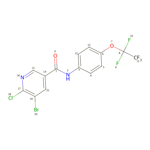 O=C(Nc1ccc(OC(F)(F)C(F)(F)F)cc1)c1cnc(Cl)c(Br)c1